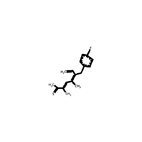 C=C/C(Cc1ccc(F)cc1)=C(C)\C=C(/C)C(C)=S